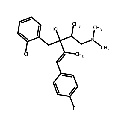 C/C(=C\c1ccc(F)cc1)C(O)(Cc1ccccc1Cl)C(C)CN(C)C